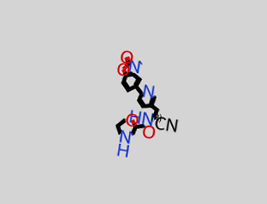 Cn1c(=O)oc2ccc(-c3ccc(C[C@H](C#N)NC(=O)C4CNCCCO4)cn3)cc21